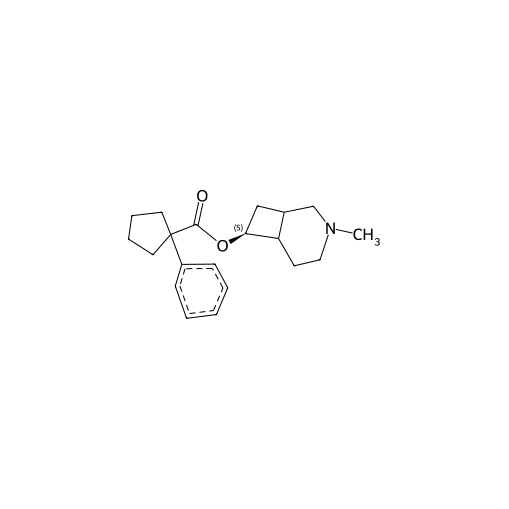 CN1CCC2C(C[C@@H]2OC(=O)C2(c3ccccc3)CCCC2)C1